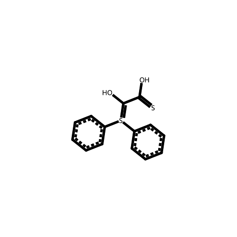 OC(=S)C(O)=S(c1ccccc1)c1ccccc1